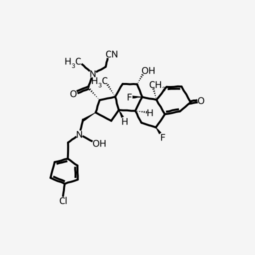 CN(CC#N)C(=O)[C@H]1[C@H](CN(O)Cc2ccc(Cl)cc2)C[C@H]2[C@@H]3C[C@H](F)C4=CC(=O)C=C[C@]4(C)[C@@]3(F)[C@@H](O)C[C@@]21C